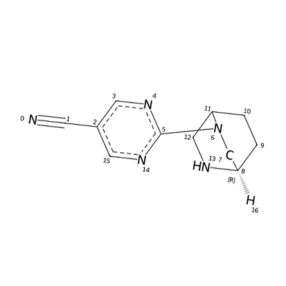 N#Cc1cnc(N2C[C@H]3CCC2CN3)nc1